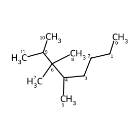 CCCCC(C)C(C)(C)C(C)C